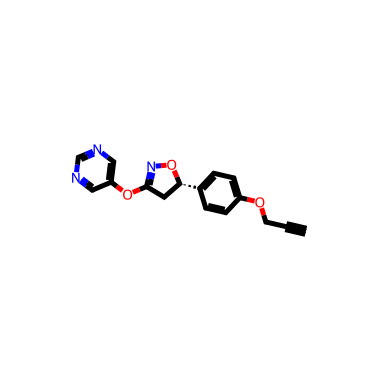 C#CCOc1ccc([C@@H]2CC(Oc3cncnc3)=NO2)cc1